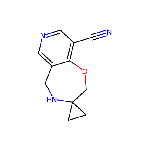 N#Cc1cncc2c1OCC1(CC1)NC2